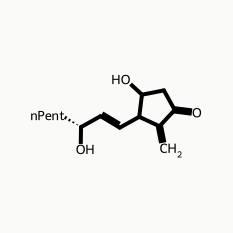 C=C1C(=O)CC(O)C1/C=C/[C@H](O)CCCCC